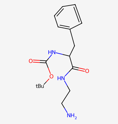 CC(C)(C)OC(=O)NC(Cc1ccccc1)C(=O)NCCN